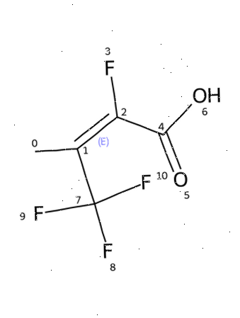 C/C(=C(\F)C(=O)O)C(F)(F)F